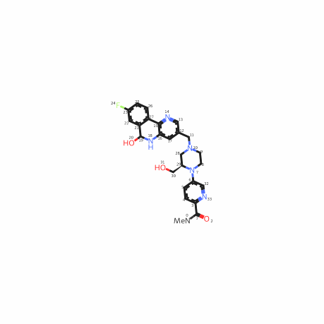 CNC(=O)c1ccc(N2CCN(Cc3cnc4c(c3)NC(O)c3cc(F)ccc3-4)C[C@@H]2CO)cn1